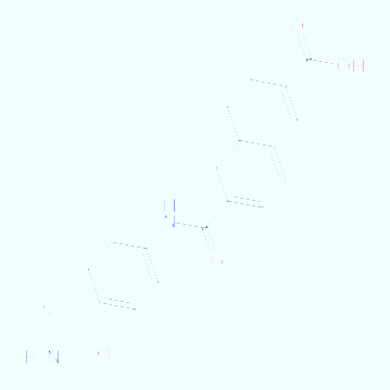 NS(=O)(=O)c1ccc(NC(=O)c2ccc3cc(C(=O)O)ccc3c2)cc1